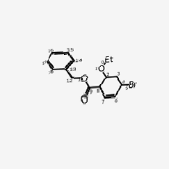 CCOC1CC(Br)C=CC1C(=O)OCc1ccccc1